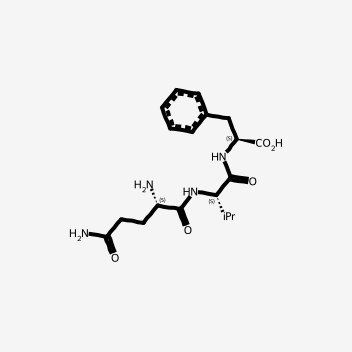 CC(C)[C@H](NC(=O)[C@@H](N)CCC(N)=O)C(=O)N[C@@H](Cc1ccccc1)C(=O)O